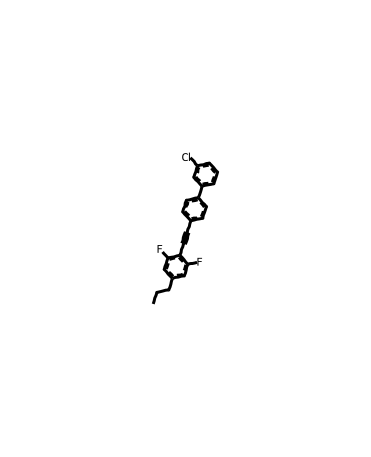 CCCc1cc(F)c(C#Cc2ccc(-c3cccc(Cl)c3)cc2)c(F)c1